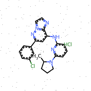 CC1CCCN1c1cccc(Nc2cc(-c3cccc(Cl)c3)nn3ccnc23)n1.Cl